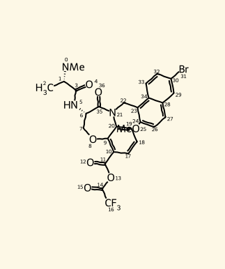 CN[C@@H](C)C(=O)N[C@H]1COc2c(C(=O)OC(=O)C(F)(F)F)cccc2N(Cc2c(OC)ccc3cc(Br)ccc23)C1=O